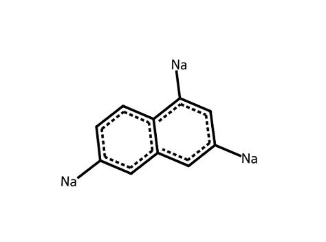 [Na][c]1ccc2[c]([Na])c[c]([Na])cc2c1